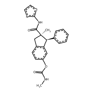 CNC(=O)Oc1ccc2c(c1)[C@H](c1ccccc1)[C@](C)(C(=O)Nc1nccs1)C2